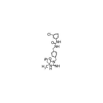 CC(C)CC1(C)NC(=N)N(Cc2ccc(CNC(=O)Nc3cccc(Cl)c3)cc2)C1=O